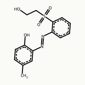 Cc1ccc(O)c(/N=N/c2ccccc2S(=O)(=O)CCO)c1